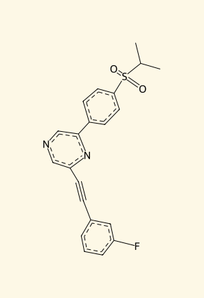 CC(C)S(=O)(=O)c1ccc(-c2cncc(C#Cc3cccc(F)c3)n2)cc1